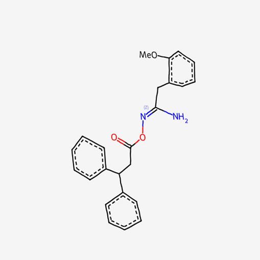 COc1ccccc1C/C(N)=N/OC(=O)CC(c1ccccc1)c1ccccc1